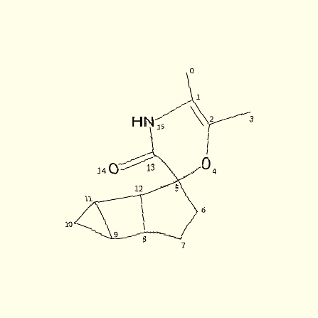 CC1=C(C)OC2(CCC3C4CC4C32)C(=O)N1